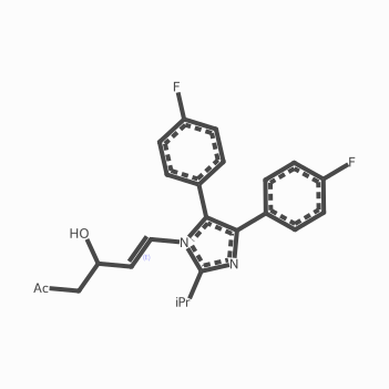 CC(=O)CC(O)/C=C/n1c(C(C)C)nc(-c2ccc(F)cc2)c1-c1ccc(F)cc1